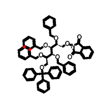 O=C1c2ccccc2C(=O)N1OC[C@@H](OCc1ccccc1)[C@@H](OCc1ccccc1)[C@H](OCc1ccccc1)[C@@H](COC(c1ccccc1)(c1ccccc1)c1ccccc1)OCc1ccccc1